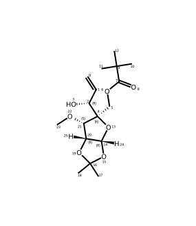 C=C[C@@H](O)[C@@]1(COC(=O)C(C)(C)C)O[C@@H]2OC(C)(C)O[C@@H]2[C@@H]1OC